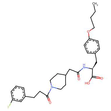 CCCCOc1ccc(C[C@H](NC(=O)CC2CCN(C(=O)CCc3cccc(F)c3)CC2)C(=O)O)cc1